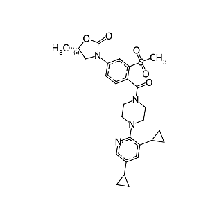 C[C@H]1CN(c2ccc(C(=O)N3CCN(c4ncc(C5CC5)cc4C4CC4)CC3)c(S(C)(=O)=O)c2)C(=O)O1